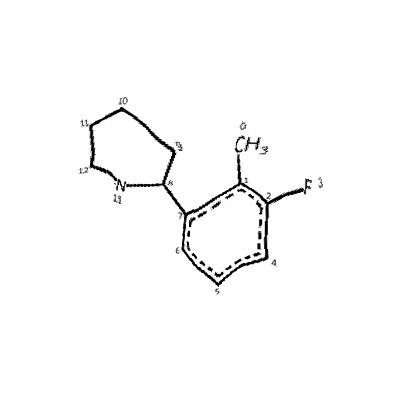 Cc1c(F)cccc1C1CCCC[N]1